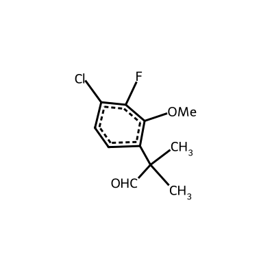 COc1c(C(C)(C)C=O)ccc(Cl)c1F